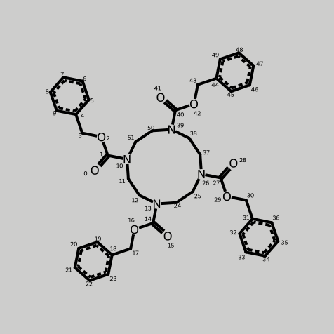 O=C(OCc1ccccc1)N1CCN(C(=O)OCc2ccccc2)CCN(C(=O)OCc2ccccc2)CCN(C(=O)OCc2ccccc2)CC1